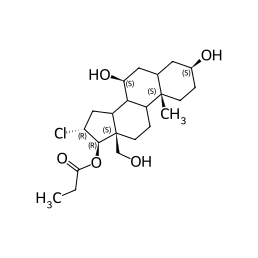 CCC(=O)O[C@H]1[C@H](Cl)CC2C3C(CC[C@@]21CO)[C@@]1(C)CC[C@H](O)CC1C[C@@H]3O